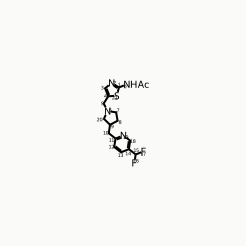 CC(=O)Nc1ncc(CN2CCC(Cc3ccc(C(F)F)cn3)C2)s1